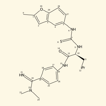 Cc1cc2cc(NC(=S)N[C@@H](CC(C)C)C(=O)Nc3ccc(C(=N)N(C)C)cc3)ccc2o1